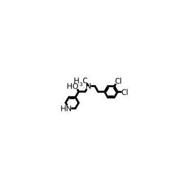 CN(CCc1ccc(Cl)c(Cl)c1)CC(O)C1=CCNCC1